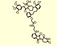 CC[C@H](C(=O)N1CCC(c2c(CCCc3ccccc3OCC(=O)NCCNc3cccc4c3C(=O)N(C3CCC(=O)NC3=O)C4=O)ccc(OC)c2OC)C[C@@H]1C(=O)O)c1cc(OC)c(OC)c(OC)c1